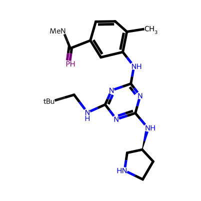 CNC(=P)c1ccc(C)c(Nc2nc(NCC(C)(C)C)nc(N[C@H]3CCNC3)n2)c1